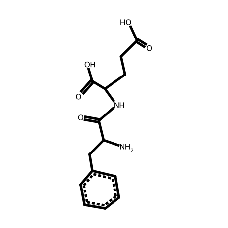 NC(Cc1ccccc1)C(=O)NC(CCC(=O)O)C(=O)O